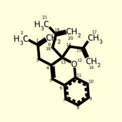 C=C(C)CC1=Cc2ccccc2OC1(CC(=C)C)CC(=C)C